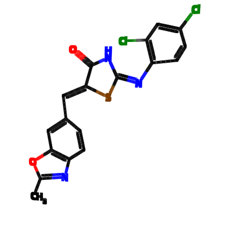 Cc1nc2ccc(/C=C3\S/C(=N/c4ccc(Cl)cc4Cl)NC3=O)cc2o1